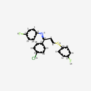 Fc1ccc(/N=C(/C=C/Sc2ccc(F)cc2)c2ccc(Cl)cc2)cc1